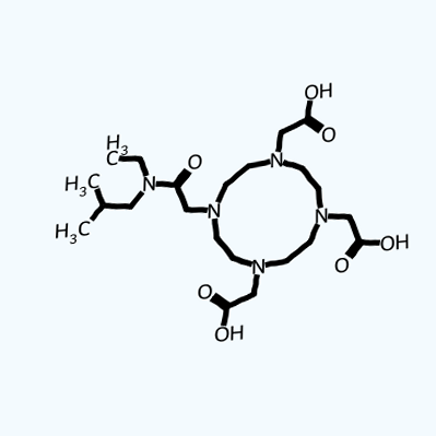 CCN(CC(C)C)C(=O)CN1CCN(CC(=O)O)CCN(CC(=O)O)CCN(CC(=O)O)CC1